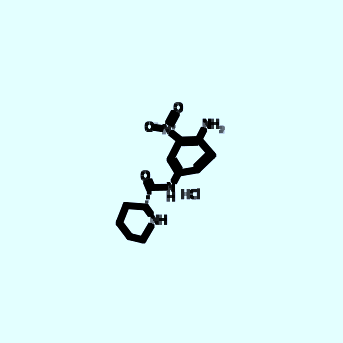 Cl.Nc1ccc(NC(=O)[C@H]2CCCCN2)cc1[N+](=O)[O-]